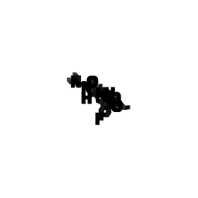 CCCOC(=O)N1C(=O)C(=Cc2[nH]c(C)c(C(=O)NCCN(CC)CC)c2C)c2cc(F)ccc21